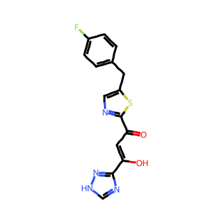 O=C(C=C(O)c1nc[nH]n1)c1ncc(Cc2ccc(F)cc2)s1